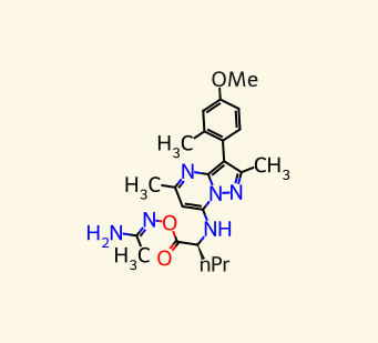 CCC[C@H](Nc1cc(C)nc2c(-c3ccc(OC)cc3C)c(C)nn12)C(=O)O/N=C(\C)N